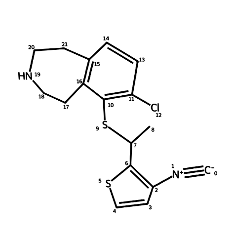 [C-]#[N+]c1ccsc1C(C)Sc1c(Cl)ccc2c1CCNCC2